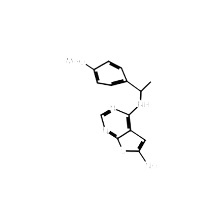 COc1ccc(C(C)Nc2ncnc3sc([N+](=O)[O-])cc23)cc1